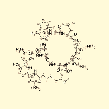 COCCCCCC(=O)N[C@@H](CCN)C(=O)N[C@H](C(=O)N[C@@H](CCN)C(=O)N[C@H]1CCNC(=O)[C@H]([C@@H](C)O)NC(=O)[C@H](CCN)NC(=O)[C@H](CCN)NC(=O)[C@H](CC(C)C)NC(=O)[C@@H](Cc2ccccc2)NC(=O)[C@H](CCN)NC1=O)[C@@H](C)O